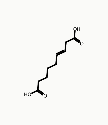 O=C(O)CC=CCCCCC(=O)O